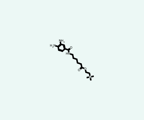 C[Si](C)(C)CCOC(=O)CCCCCNC(=O)c1ccc(N)c(N)c1